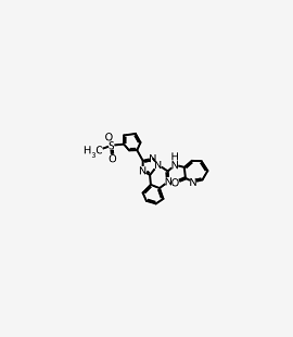 CS(=O)(=O)c1cccc(-c2nc3c4ccccc4nc(Nc4ccccnc4=O)n3n2)c1